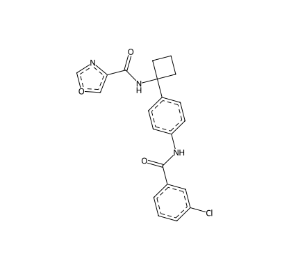 O=C(Nc1ccc(C2(NC(=O)c3cocn3)CCC2)cc1)c1cccc(Cl)c1